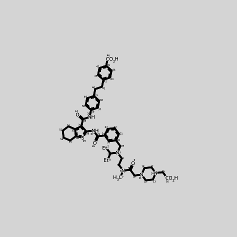 CCC(CC)N(CCN(C)C(=O)CN1CCN(CC(=O)O)CC1)Cc1cccc(C(=O)Nc2sc3c(c2C(=O)Nc2ccc(CCc4ccc(C(=O)O)cc4)cc2)CCCC3)c1